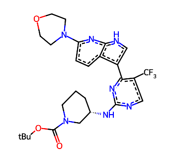 CC(C)(C)OC(=O)N1CCC[C@H](Nc2ncc(C(F)(F)F)c(-c3c[nH]c4nc(N5CCOCC5)ccc34)n2)C1